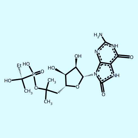 CC[C@](C)(O)P(=O)(O)OC(C)(C)C[C@H]1O[C@@H](n2c(=O)[nH]c3c(=O)[nH]c(N)nc32)[C@H](O)[C@@H]1O